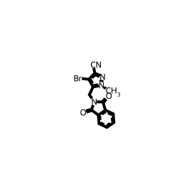 Cn1nc(C#N)c(Br)c1CN1C(=O)c2ccccc2C1=O